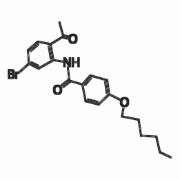 CCCCCCOc1ccc(C(=O)Nc2cc(Br)ccc2C(C)=O)cc1